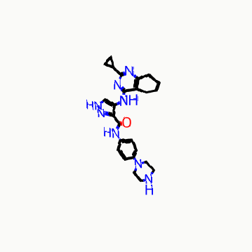 O=C(Nc1ccc(N2CCNCC2)cc1)c1n[nH]cc1Nc1nc(C2CC2)nc2c1CCCC2